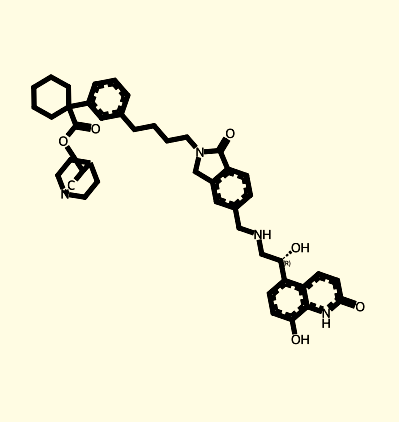 O=C1c2ccc(CNC[C@H](O)c3ccc(O)c4[nH]c(=O)ccc34)cc2CN1CCCCc1cccc(C2(C(=O)OC3CN4CCC3CC4)CCCCC2)c1